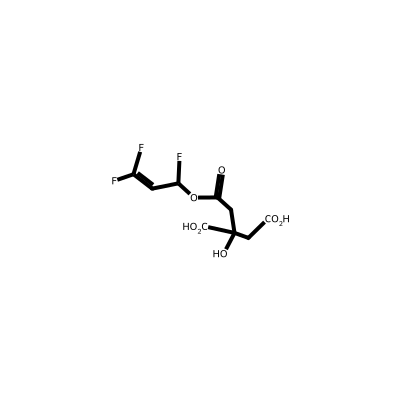 O=C(O)CC(O)(CC(=O)OC(F)C=C(F)F)C(=O)O